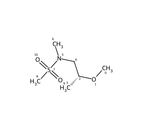 CO[C@H](C)CN(C)S(C)(=O)=O